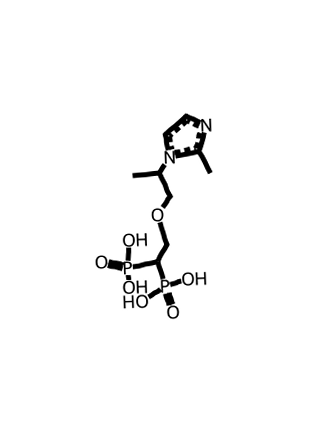 Cc1nccn1C(C)COCC(P(=O)(O)O)P(=O)(O)O